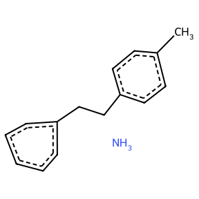 Cc1ccc(CCc2ccccc2)cc1.N